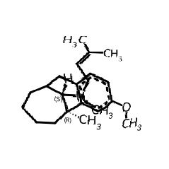 COc1ccc2c(c1)[C@@]1(C)CCCCC(C2)[C@@H]1N(C)CC=C(C)C